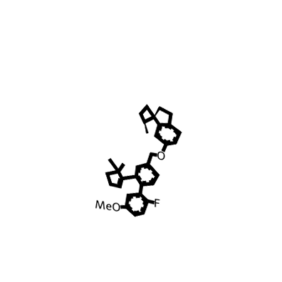 COc1ccc(F)c(-c2ccc(COc3ccc4c(c3)[C@@]3(CC4)CC[C@@H]3C)cc2C2=CCCC2(C)C)c1